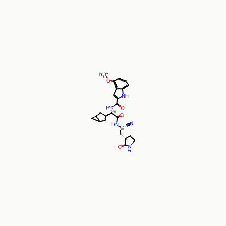 COc1cccc2[nH]c(C(=O)N[C@H](C(=O)N[C@H](C#N)C[C@@H]3CCNC3=O)C3CC4CC4C3)cc12